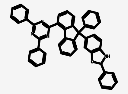 c1ccc(-c2nc(-c3ccccc3)nc(-c3cccc4c3-c3ccccc3C4(c3ccccc3)c3ccc4c(c3)OC(c3ccccc3)N4)n2)cc1